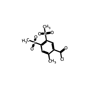 Cc1cc(S(C)(=O)=O)c(S(C)(=O)=O)cc1C(=O)Cl